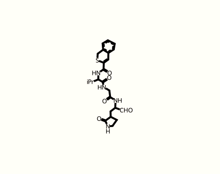 CC(C)C(NC(=O)C1=Cc2ccccc2CS1)C(=O)NCC(=O)NC(C=O)CC1CCNC1=O